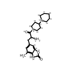 Cc1cc(CC(N)C(=O)N2CCC(N3CCCCC3)CC2)cc2oc(=O)[nH]c12